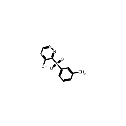 [CH2]c1cccc(S(=O)(=O)c2nncnc2O)c1